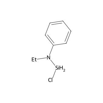 CCN([SiH2]Cl)c1ccccc1